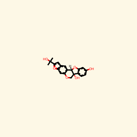 CC(C)(O)c1cc2cc3c(cc2o1)OC[C@@]1(O)c2ccc(O)cc2O[C@@H]31